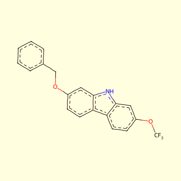 FC(F)(F)Oc1ccc2c(c1)[nH]c1cc(OCc3ccccc3)ccc12